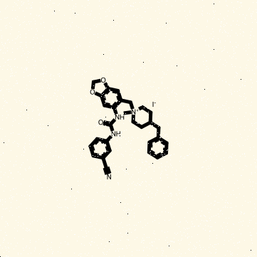 C[N+]1(Cc2cc3c(cc2NC(=O)Nc2cccc(C#N)c2)OCO3)CCC(Cc2ccccc2)CC1.[I-]